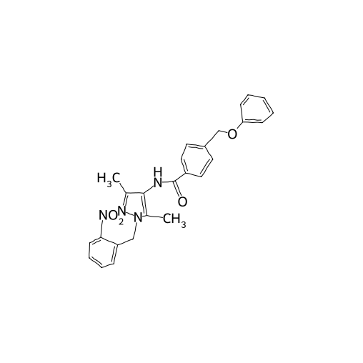 Cc1nn(Cc2ccccc2[N+](=O)[O-])c(C)c1NC(=O)c1ccc(COc2ccccc2)cc1